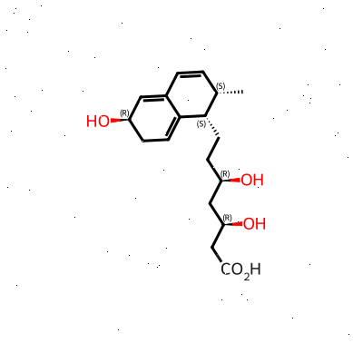 C[C@H]1C=CC2=C[C@H](O)CC=C2[C@H]1CC[C@@H](O)C[C@@H](O)CC(=O)O